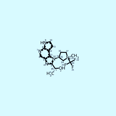 C[C@@H](O)c1nc2cnc3[nH]ccc3c2n1[C@H]1CC[N@@+](C)(C(F)(F)F)C1